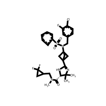 CN(CC1CC1(F)F)C(=O)[C@@H]1NC(C23CC(N(Cc4ccc(Cl)c(F)c4)S(=O)(=O)c4ccccc4)(C2)C3)=NC1(C)C